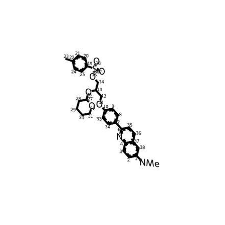 CNc1ccc2nc(-c3ccc(OCC(COS(=O)(=O)c4ccc(C)cc4)OC4CCCCO4)cc3)ccc2c1